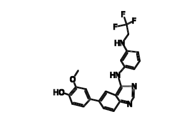 COc1cc(-c2ccc3ncnc(Nc4cccc(NCC(F)(F)F)c4)c3c2)ccc1O